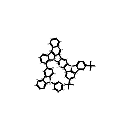 CC(C)(C)c1ccc2c(c1)c1cc(C(C)(C)C)cc3c4nc5c(cc4n2c13)c1cc2ccccc2c2c3cccc(-c4ccc6c(c4)c4ccccc4n6-c4ccccc4)c3n5c12